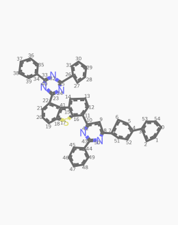 c1ccc(-c2ccc(-c3cc(-c4cccc5c4sc4cccc(-c6nc(-c7ccccc7)nc(-c7ccccc7)n6)c45)nc(-c4ccccc4)n3)cc2)cc1